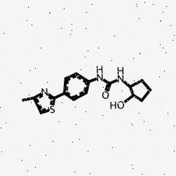 Cc1csc(-c2ccc(NC(=O)NC3CCCC3O)cc2)n1